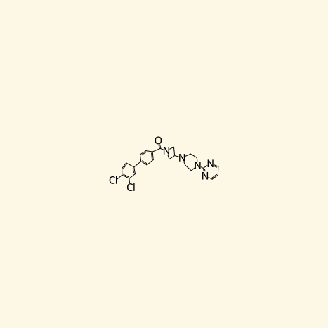 O=C(c1ccc(-c2ccc(Cl)c(Cl)c2)cc1)N1CC(N2CCN(c3ncccn3)CC2)C1